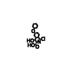 O=C(O)c1nc(Cl)c2ccc(Oc3ccccc3)cc2c1O